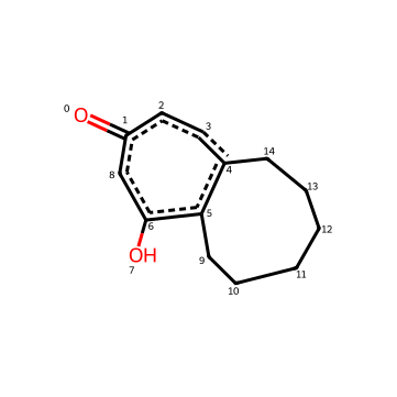 O=c1ccc2c(c(O)c1)CCCCCC2